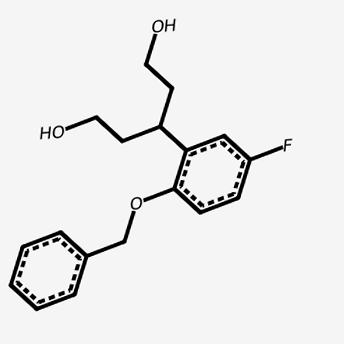 OCCC(CCO)c1cc(F)ccc1OCc1ccccc1